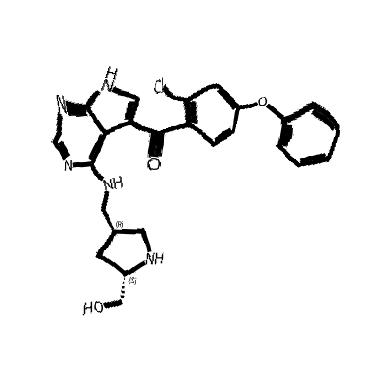 O=C(c1ccc(Oc2ccccc2)cc1Cl)c1c[nH]c2ncnc(NC[C@H]3CN[C@H](CO)C3)c12